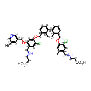 Cc1cc(OCc2cccc(-c3cccc(COc4cc(OCc5cncc(C#N)c5)c(CNCCC(=O)O)cc4Cl)c3C)c2C)c(Cl)cc1CNCCC(=O)O